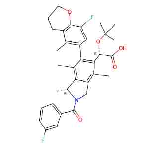 Cc1c(-c2c(C)c3c(c(C)c2[C@H](OC(C)(C)C)C(=O)O)CN(C(=O)c2cccc(F)c2)[C@@H]3C)cc(F)c2c1CCCO2